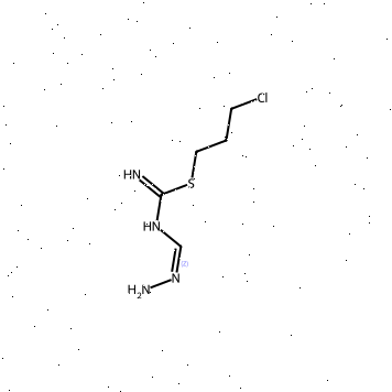 N=C(N/C=N\N)SCCCCl